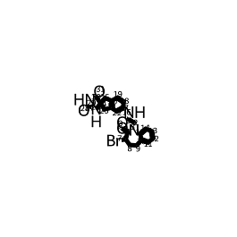 O=C(CN1C(=O)C(Br)CCc2ccccc21)Nc1ccc2c(c1)CC1(C2)NC(=O)NC1=O